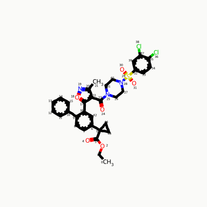 CCOC(=O)C1(c2ccc(-c3ccccc3)c(-c3onc(C)c3C(=O)N3CCN(S(=O)(=O)c4ccc(Cl)c(Cl)c4)CC3)c2)CC1